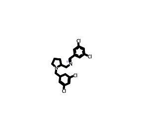 ClC1=CC(CN2CCCC2C/N=C/c2cc(Cl)cc(Cl)c2)CC(Cl)=C1